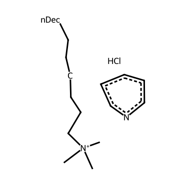 CCCCCCCCCCCCCCCC[N+](C)(C)C.Cl.c1ccncc1